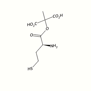 CC(OC(=O)[C@@H](N)CCS)(C(=O)O)C(=O)O